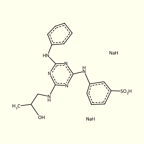 CC(O)CNc1nc(Nc2ccccc2)nc(Nc2cccc(S(=O)(=O)O)c2)n1.[NaH].[NaH]